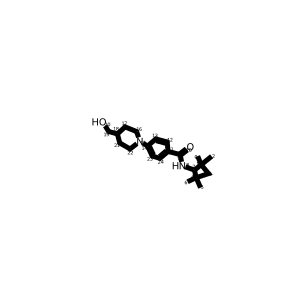 CC1(C)CC(C)(C)C1NC(=O)c1ccc(N2CCC(CO)CC2)cc1